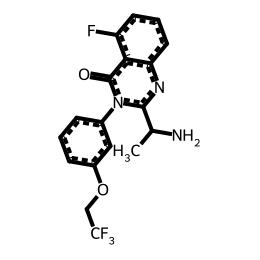 CC(N)c1nc2cccc(F)c2c(=O)n1-c1cccc(OCC(F)(F)F)c1